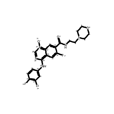 O=C(NCCN1CCOCC1)c1cc2c(cc1F)c(Nc1ccc(F)c(Cl)c1)nc[n+]2[O-]